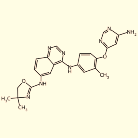 Cc1cc(Nc2ncnc3ccc(NC4=NC(C)(C)CO4)cc23)ccc1Oc1cc(N)ncn1